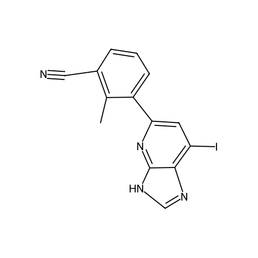 Cc1c(C#N)cccc1-c1cc(I)c2nc[nH]c2n1